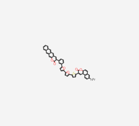 CCCc1ccc2c(ccc3oc(=O)c(-c4ccc(-c5ccc(-c6ccc(-c7cccc(-c8cc9cc%10cc%11ccccc%11cc%10cc9oc8=O)c7)o6)o5)s4)cc32)c1